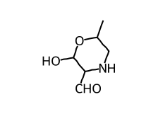 CC1CNC(C=O)C(O)O1